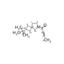 CC#CC(=O)N1CCC2(CC(C(C)(C)C)C2)C1